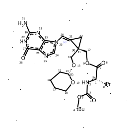 CC(C)[C@H](NC(=O)OC(C)(C)C)C(=O)OC[C@]1(CO[C@H]2CCCCO2)C/C1=C/n1cnc2c(=O)[nH]c(N)nc21